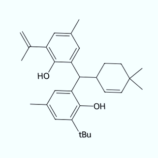 C=C(C)c1cc(C)cc(C(c2cc(C)cc(C(C)(C)C)c2O)C2C=CC(C)(C)CC2)c1O